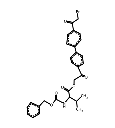 CC(C)C(NC(=O)OCc1ccccc1)C(=O)OCC(=O)c1ccc(-c2ccc(C(=O)CBr)cc2)cc1